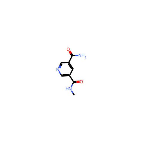 CNC(=O)c1cncc(C(N)=O)c1